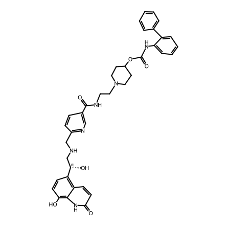 O=C(Nc1ccccc1-c1ccccc1)OC1CCN(CCNC(=O)c2ccc(CNC[C@H](O)c3ccc(O)c4[nH]c(=O)ccc34)nc2)CC1